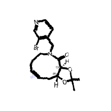 CC1(C)O[C@@H]2C(=O)N(Cc3ccncc3Br)CC/C=C\C[C@H]2O1